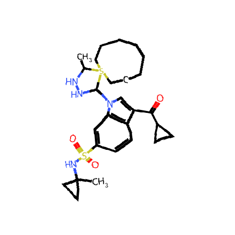 CC1NNC(n2cc(C(=O)C3CC3)c3ccc(S(=O)(=O)NC4(C)CC4)cc32)S12CCCCCCCC2